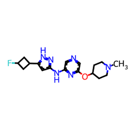 CN1CCC(Oc2cncc(Nc3cc(C4CC(F)C4)[nH]n3)n2)CC1